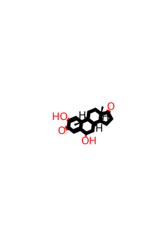 C[C@]12C=C(O)C(=O)C=C1[C@H](O)C[C@@H]1[C@@H]2CC[C@]2(C)C(=O)CC[C@@H]12